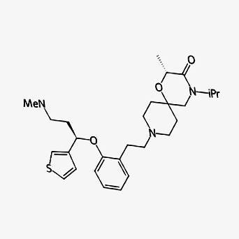 CNCC[C@@H](Oc1ccccc1CCN1CCC2(CC1)CN(C(C)C)C(=O)[C@@H](C)O2)c1ccsc1